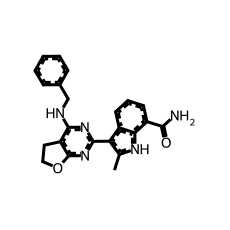 Cc1[nH]c2c(C(N)=O)cccc2c1-c1nc(NCc2ccccc2)c2c(n1)OCC2